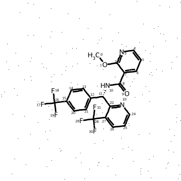 COc1ncccc1C(=O)N[C@@H](c1ccc(C(F)(F)F)cc1)c1ncccc1C(F)(F)F